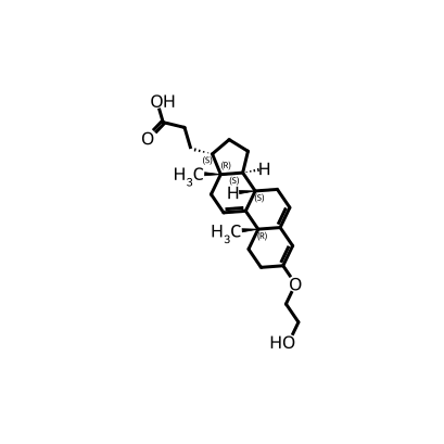 C[C@]12CCC(OCCO)=CC1=CC[C@@H]1C2=CC[C@]2(C)[C@H](CCC(=O)O)CC[C@@H]12